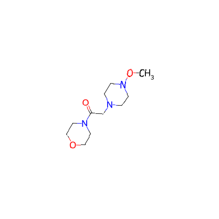 CON1CCN(CC(=O)N2CCOCC2)CC1